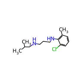 Cc1cccc(Cl)c1NCCCNCC(C)C